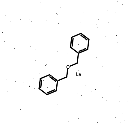 [La].c1ccc(COCc2ccccc2)cc1